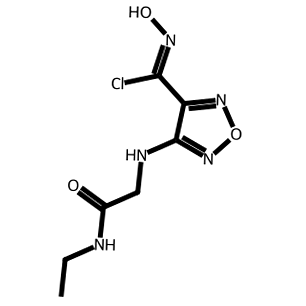 CCNC(=O)CNc1nonc1C(Cl)=NO